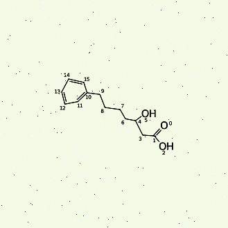 O=C(O)CC(O)CCCCc1ccccc1